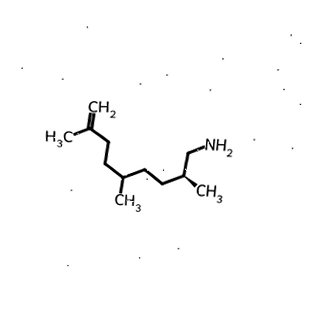 C=C(C)CCC(C)CC[C@H](C)CN